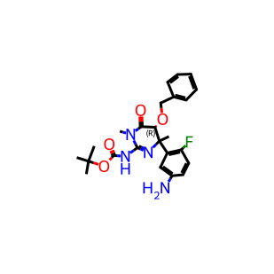 CN1C(=O)[C@H](OCc2ccccc2)C(C)(c2cc(N)ccc2F)N=C1NC(=O)OC(C)(C)C